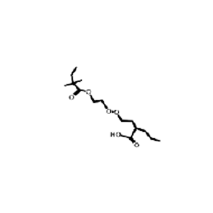 CCCC(CCOOCCOC(=O)C(C)(C)CC)C(=O)O